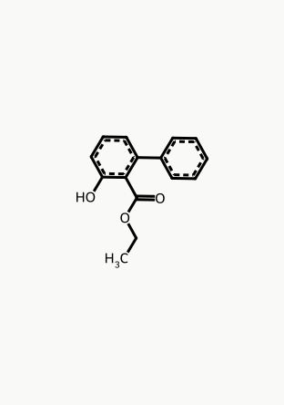 CCOC(=O)c1c(O)cccc1-c1ccccc1